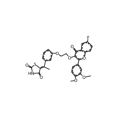 COc1ccc(-c2oc3ccc(F)cc3c(=O)c2OCCOc2cccc(/C(C)=C3\SC(=O)NC3=O)c2)cc1OC